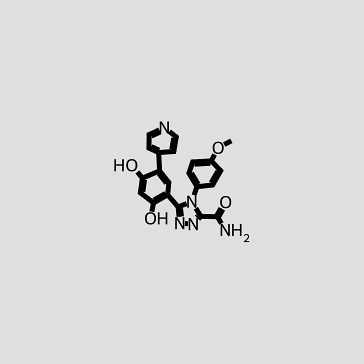 COc1ccc(-n2c(C(N)=O)nnc2-c2cc(-c3ccncc3)c(O)cc2O)cc1